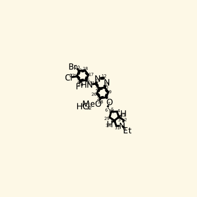 CCN1C[C@H]2C[C@@H](COc3cc4ncnc(Nc5ccc(Br)c(Cl)c5F)c4cc3OC)C[C@H]2C1.Cl